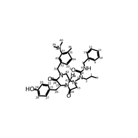 CCCN(C(=O)NCc1ccccc1)N1CC(=O)N2[C@@H](Cc3ccc(O)cc3)C(=O)N(Cc3ccc(C)c(N(C)C)c3)C[C@@H]21